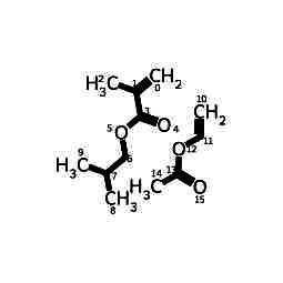 C=C(C)C(=O)OCC(C)C.C=COC(C)=O